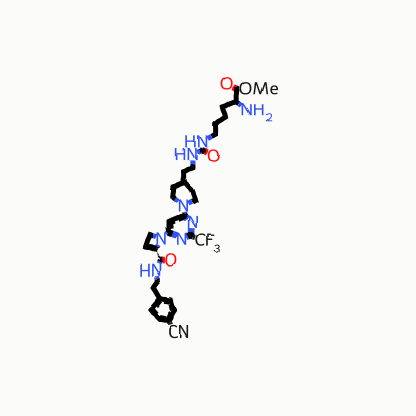 COC(=O)C(N)CCCCNC(=O)NCCC1CCN(c2cc(N3CC[C@H]3C(=O)NCCc3ccc(C#N)cc3)nc(C(F)(F)F)n2)CC1